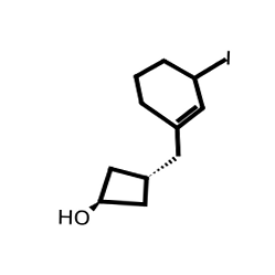 O[C@H]1C[C@H](CC2=CC(I)CCC2)C1